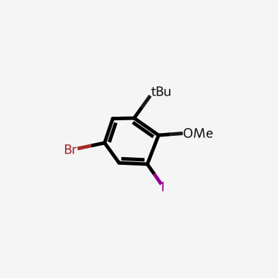 COc1c(I)cc(Br)cc1C(C)(C)C